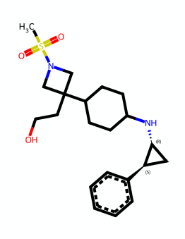 CS(=O)(=O)N1CC(CCO)(C2CCC(N[C@@H]3C[C@H]3c3ccccc3)CC2)C1